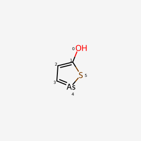 OC1=CC=[As]S1